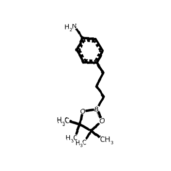 CC1(C)OB(CCCc2ccc(N)cc2)OC1(C)C